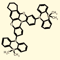 C[Si]1(C)c2ccccc2N(c2ccc3c(c2)Oc2cc4c(c5c2B3c2ccc(N3c6ccccc6[Si](C)(C)c6ccccc63)cc2O5)CCCC4)c2ccccc21